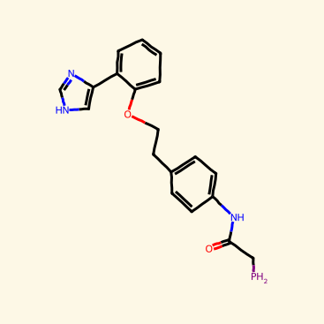 O=C(CP)Nc1ccc(CCOc2ccccc2-c2c[nH]cn2)cc1